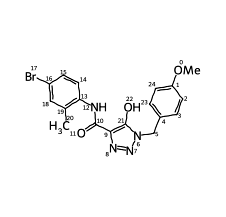 COc1ccc(Cn2nnc(C(=O)Nc3ccc(Br)cc3C)c2O)cc1